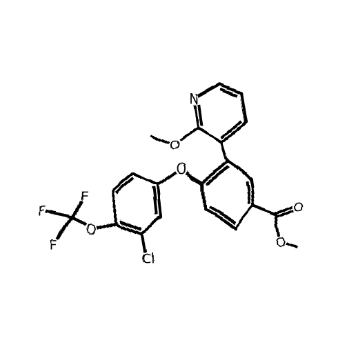 COC(=O)c1ccc(Oc2ccc(OC(F)(F)F)c(Cl)c2)c(-c2cccnc2OC)c1